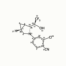 N#Cc1ccc(N2C[C@@H]3CC3[C@@H]2[C@H](O)C(F)(F)F)cc1Cl